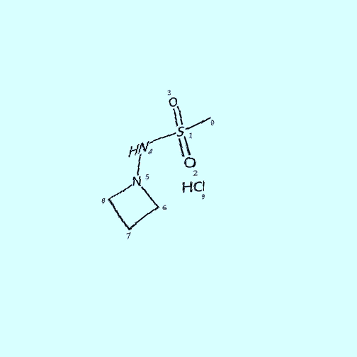 CS(=O)(=O)NN1CCC1.Cl